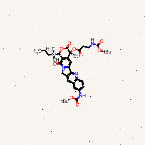 CCC1(OC(=O)CCNC(=O)OC(C)(C)C)C(=O)OC([Si](C)(C)CCC(F)(F)F)c2c1cc1n(c2=O)Cc2cc3cc(NC(=O)OC(C)(C)C)ccc3nc2-1